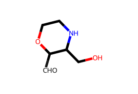 O=CC1OCCNC1CO